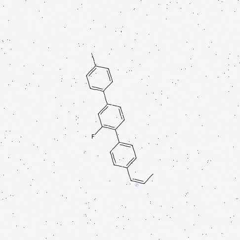 C/C=C\c1ccc(-c2ccc(-c3ccc(C)cc3)cc2F)cc1